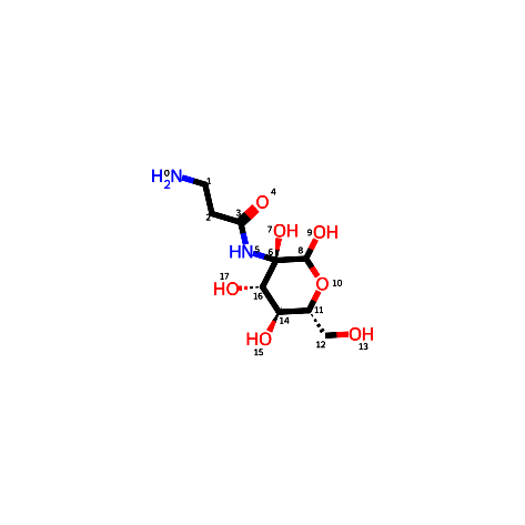 NCCC(=O)N[C@]1(O)C(O)O[C@H](CO)[C@@H](O)[C@@H]1O